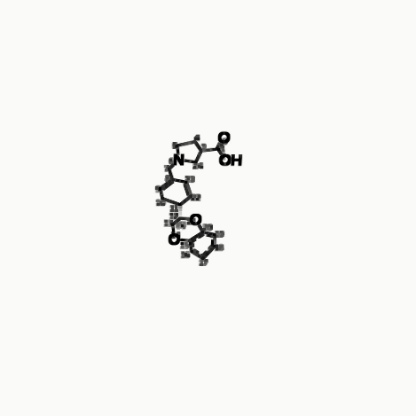 O=C(O)C1CCN(CC2=CCC([C@H]3COc4ccccc4O3)C=C2)C1